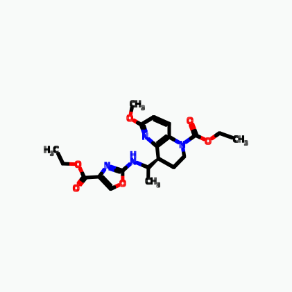 CCOC(=O)c1coc(NC(C)[C@@H]2CCN(C(=O)OCC)c3ccc(OC)nc32)n1